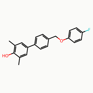 Cc1cc(-c2ccc(COc3ccc(F)cc3)cc2)cc(C)c1O